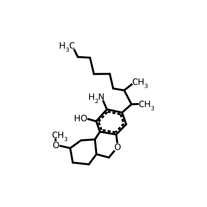 CCCCCCC(C)C(C)c1cc2c(c(O)c1N)C1CC(OC)CCC1CO2